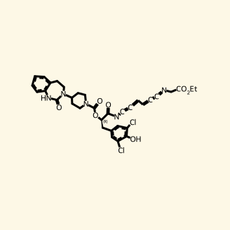 CCOC(=O)CN=C=C=CC=C=C=NC(=O)[C@@H](Cc1cc(Cl)c(O)c(Cl)c1)OC(=O)N1CCC(N2CCc3ccccc3NC2=O)CC1